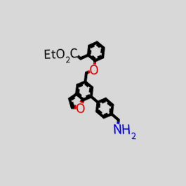 CCOC(=O)Cc1ccccc1OCc1cc(-c2ccc(CN)cc2)c2occc2c1